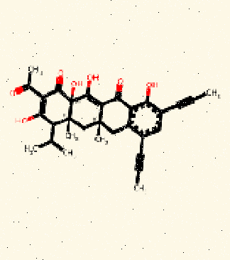 CC#Cc1cc(C#CC)c2c(c1O)C(=O)C1=C(O)[C@@]3(O)C(=O)C(C(C)=O)=C(O)C(C(C)C)[C@@]3(C)C[C@@]1(C)C2